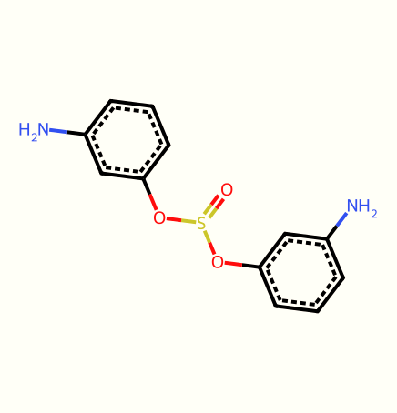 Nc1cccc(OS(=O)Oc2cccc(N)c2)c1